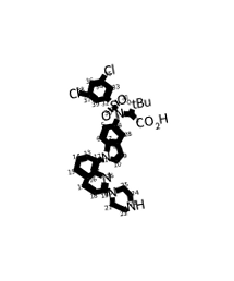 CC(C)(C)C(C(=O)O)N(c1ccc2c(ccn2-c2cccc3ccc(N4CCNCC4)nc23)c1)S(=O)(=O)c1cc(Cl)cc(Cl)c1